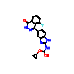 O=c1[nH]nc(-c2ccc3[nH]c(NC(O)OC4CC4)nc3c2)c2c(F)cccc12